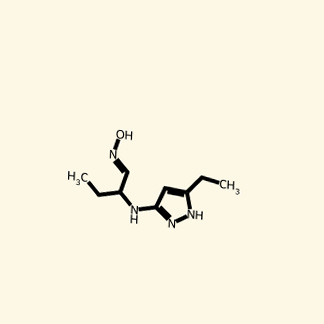 CCc1cc(NC(C=NO)CC)n[nH]1